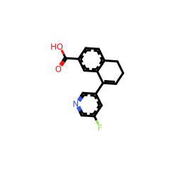 O=C(O)c1ccc2c(c1)C(c1cncc(F)c1)=CCC2